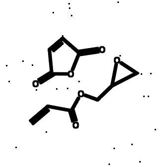 C=CC(=O)OCC1CO1.O=C1C=CC(=O)O1